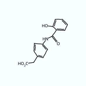 O=C(O)Cc1ccc(NC(=O)c2ccccc2O)cc1